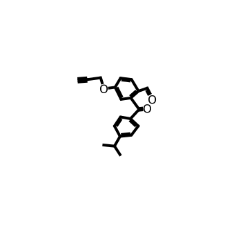 C#CCOc1ccc(C=O)c(C(=O)c2ccc(C(C)C)cc2)c1